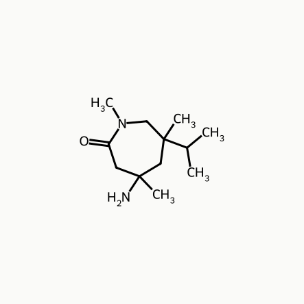 CC(C)C1(C)CN(C)C(=O)CC(C)(N)C1